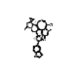 O=C1C=C(F)C2=C(Cl)C=NCC3=C(C2=C1)C(c1ncc(-c2ccc4[nH]ccc4c2)[nH]1)CN1C(=O)CC2(CC2)[C@@H]31